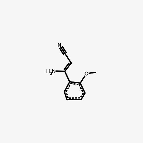 COc1ccccc1C(N)=CC#N